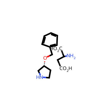 NC(CC(=O)O)C(=O)O.c1ccc(CO[C@@H]2CCNC2)cc1